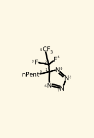 CCCCCC1(C(F)(F)C(F)(F)F)N=NN=N1